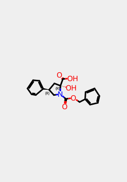 O=C(OCc1ccccc1)N1C[C@@H](c2ccccc2)C[C@@]1(O)C(=O)O